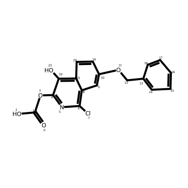 O=C(O)Oc1nc(Cl)c2cc(OCc3ccccc3)ccc2c1O